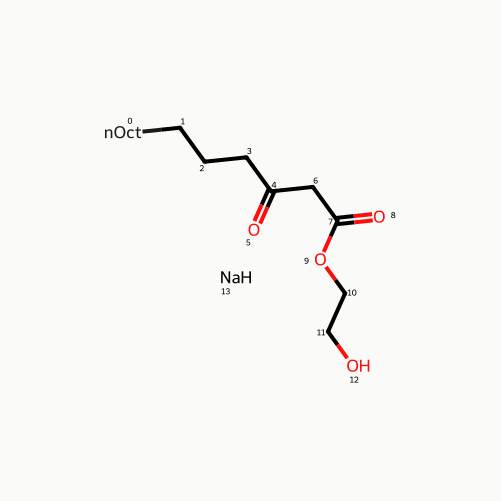 CCCCCCCCCCCC(=O)CC(=O)OCCO.[NaH]